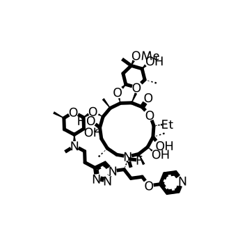 CC[C@H]1OC(=O)[C@H](C)[C@@H](O[C@H]2C[C@@](C)(OC)[C@@H](O)[C@H](C)O2)[C@H](C)[C@@H](O[C@@H]2O[C@H](C)C[C@H](N(C)CCc3cn([C@H](CF)CCOc4ccncc4)nn3)[C@H]2O)[C@](C)(O)C[C@@H](C)CN(C)[C@H](C)[C@@H](O)[C@]1(C)O